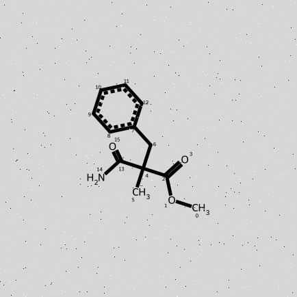 COC(=O)C(C)(Cc1ccccc1)C(N)=O